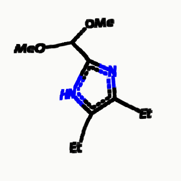 CCc1nc(C(OC)OC)[nH]c1CC